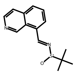 CC(C)(C)[S+]([O-])N=Cc1cccc2ccncc12